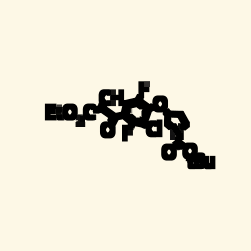 C=C(C(=O)OCC)C(=O)c1cc(F)c(OC2CCN(C(=O)OC(C)(C)C)C2)c(Cl)c1F